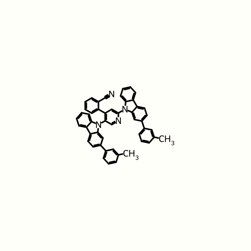 Cc1cccc(-c2ccc3c4ccccc4n(-c4cc(-c5ccccc5C#N)c(-n5c6ccccc6c6ccc(-c7cccc(C)c7)cc65)cn4)c3c2)c1